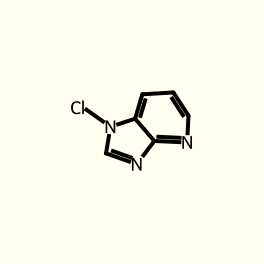 Cln1cnc2ncccc21